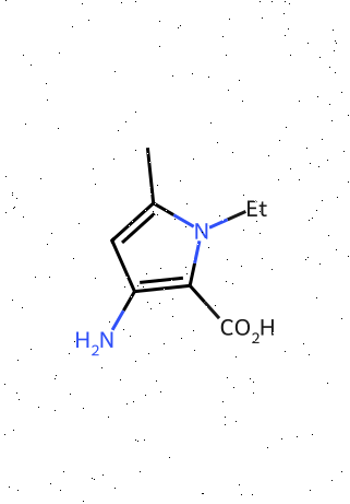 CCn1c(C)cc(N)c1C(=O)O